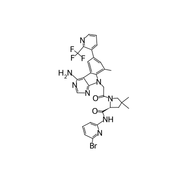 Cc1cc(-c2cccnc2C(F)(F)F)cc2c3c(N)ncnc3n(CC(=O)N3CC(C)(C)C[C@H]3C(=O)Nc3cccc(Br)n3)c12